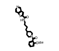 COc1ccccc1C(=O)N1CCC(CCCCNC(=O)c2cc3cnccc3s2)CC1